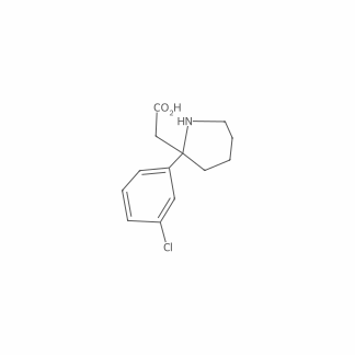 O=C(O)CC1(c2cccc(Cl)c2)CCCCN1